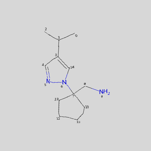 CC(C)c1cnn(C2(CN)CCCC2)c1